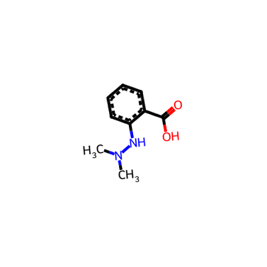 CN(C)Nc1ccccc1C(=O)O